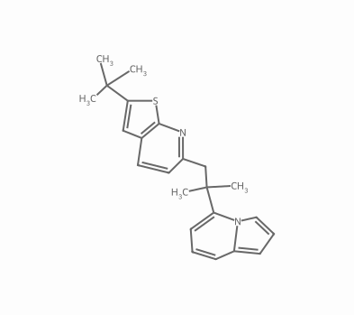 CC(C)(C)c1cc2ccc(CC(C)(C)c3cccc4cccn34)nc2s1